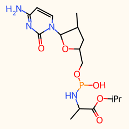 CC(C)OC(=O)C(C)NP(O)OCC1CC(C)C(n2ccc(N)nc2=O)O1